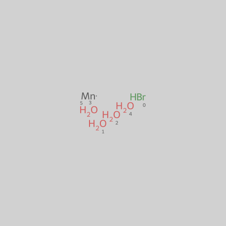 Br.O.O.O.O.[Mn]